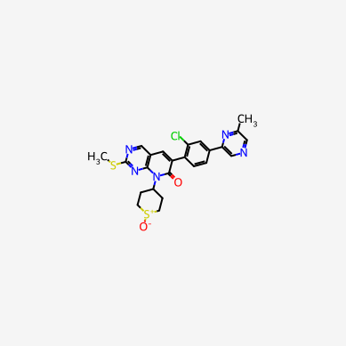 CSc1ncc2cc(-c3ccc(-c4cncc(C)n4)cc3Cl)c(=O)n(C3CC[S+]([O-])CC3)c2n1